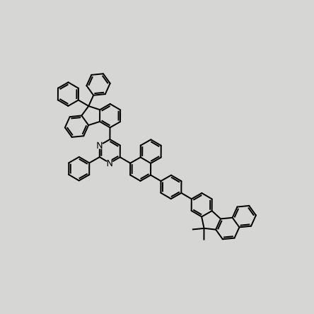 CC1(C)c2cc(-c3ccc(-c4ccc(-c5cc(-c6cccc7c6-c6ccccc6C7(c6ccccc6)c6ccccc6)nc(-c6ccccc6)n5)c5ccccc45)cc3)ccc2-c2c1ccc1ccccc21